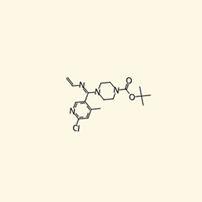 C=C/N=C(\c1cnc(Cl)cc1C)N1CCN(C(=O)OC(C)(C)C)CC1